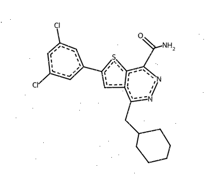 NC(=O)c1nnc(CC2CCCCC2)c2cc(-c3cc(Cl)cc(Cl)c3)sc12